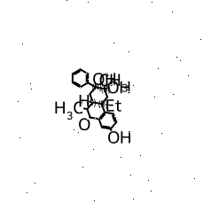 CC[C@@]12C[C@@](C)(O)[C@](O)(c3ccccc3)C[C@H]1C(C)C(=O)c1cc(O)ccc12